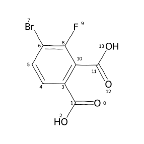 O=C(O)c1ccc(Br)c(F)c1C(=O)O